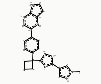 Cn1cc(-c2nc(C3(c4ccc(-c5cnc6[nH]ccc6n5)cc4)CCC3)no2)cn1